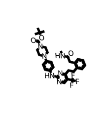 CNC(=O)Cc1ccccc1CCc1nc(Nc2ccc(N3CCN(C(=O)OC(C)(C)C)CC3)cc2)ncc1C(F)(F)F